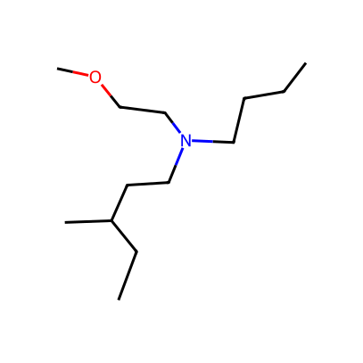 CCCCN(CCOC)CCC(C)CC